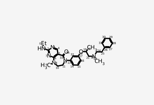 CCNc1ncc2c(n1)N(C)CCN(c1cccc(OC(C)CN(C)CCc3ccccc3)c1)C2=O